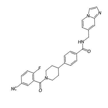 N#Cc1ccc(F)c(C(=O)N2CCC(c3ccc(C(=O)NCc4ccn5ccnc5c4)cc3)CC2)c1